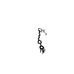 CCCCCCCC1CCC(c2ccc(C(F)(F)F)cc2)CC1